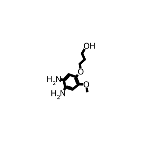 COc1cc(N)c(N)cc1OCCCO